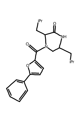 CC(C)CC1CN(C(=O)c2ccc(-c3ccccc3)o2)C(CC(C)C)C(=O)N1